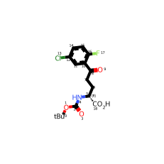 CC(C)(C)OC(=O)N[C@H](CCC(=O)c1cc(Cl)ccc1F)C(=O)O